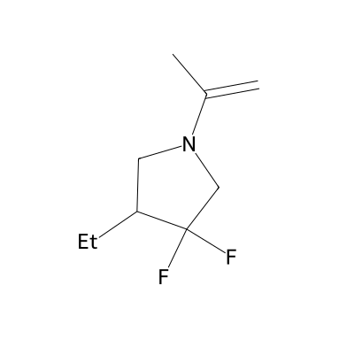 C=C(C)N1CC(CC)C(F)(F)C1